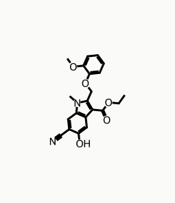 CCOC(=O)c1c(COc2ccccc2OC)n(C)c2cc(C#N)c(O)cc12